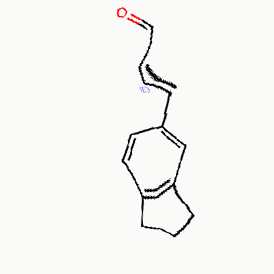 O=C/C=C/c1ccc2c(c1)CCC2